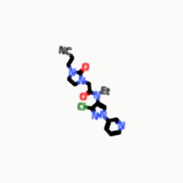 CCN(C(=O)CN1CCN(CCC#N)C1=O)c1cn(-c2cccnc2)nc1Cl